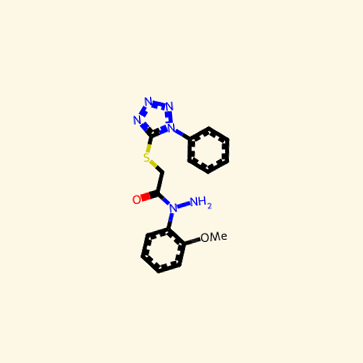 COc1ccccc1N(N)C(=O)CSc1nnnn1-c1ccccc1